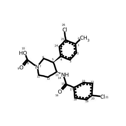 Cc1ccc([C@@H]2CN(C(=O)O)CC[C@H]2NC(=O)c2ccc(Cl)cc2)cc1Cl